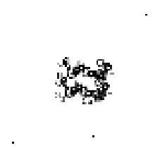 COc1cc2c(Oc3ccc(NC(=O)C4(C(=O)Nc5cccc(Cl)c5)CC4)cc3F)ccnc2cc1OCCC(=O)[O-].COc1cc2c(Oc3ccc(NC(=O)C4(C(=O)Nc5cccc(Cl)c5)CC4)cc3F)ccnc2cc1OCCC(=O)[O-].[Ca+2]